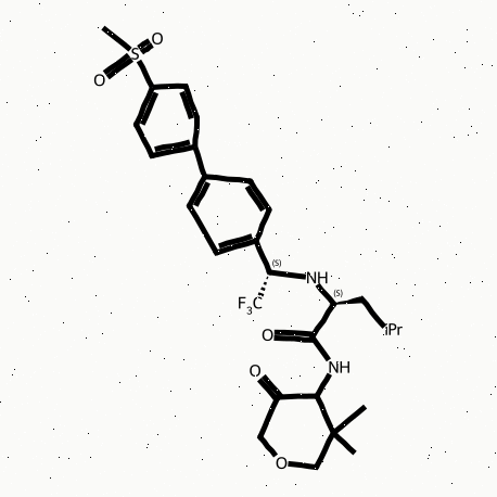 CC(C)C[C@H](N[C@@H](c1ccc(-c2ccc(S(C)(=O)=O)cc2)cc1)C(F)(F)F)C(=O)NC1C(=O)COCC1(C)C